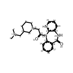 CN(C)CC1CCCN(CC(=O)N2c3ccccc3C(=O)Nc3cccnc32)C1